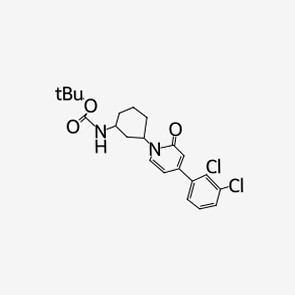 CC(C)(C)OC(=O)NC1CCCC(n2ccc(-c3cccc(Cl)c3Cl)cc2=O)C1